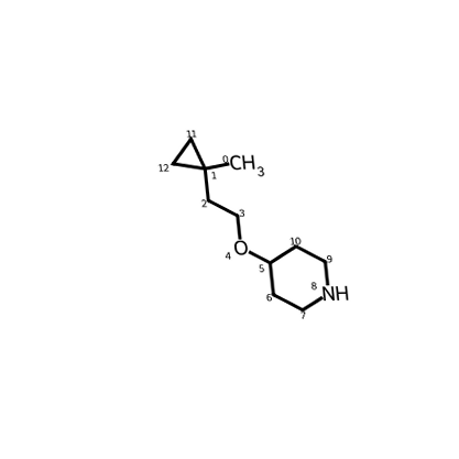 CC1(CCOC2CCNCC2)CC1